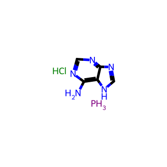 Cl.Nc1ncnc2nc[nH]c12.P